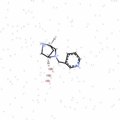 Br.Br.Br.c1cncc(CN2C[C@H]3C[C@@H]2CN3)c1